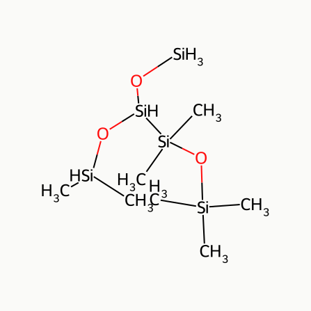 C[SiH](C)O[SiH](O[SiH3])[Si](C)(C)O[Si](C)(C)C